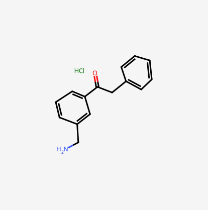 Cl.NCc1cccc(C(=O)Cc2ccccc2)c1